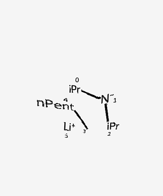 CC(C)[N-]C(C)C.CCCCCC.[Li+]